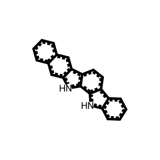 c1ccc2cc3c(cc2c1)[nH]c1c3ccc2c3ccccc3[nH]c21